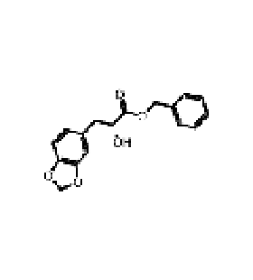 O=C(OCc1ccccc1)[C@H](O)Cc1ccc2c(c1)OCO2